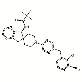 CC(C)(C)[S+]([O-])N[C@@H]1c2ncccc2CC12CCN(c1cnc(Sc3ccnc(N)c3Cl)cn1)CC2